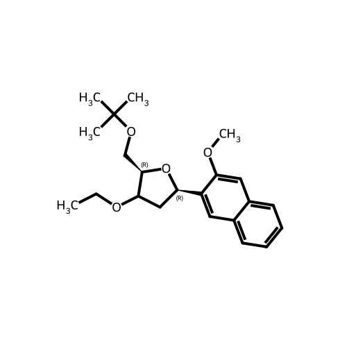 CCOC1C[C@H](c2cc3ccccc3cc2OC)O[C@@H]1COC(C)(C)C